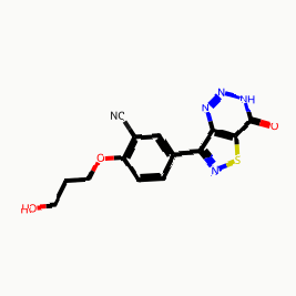 N#Cc1cc(-c2nsc3c(=O)[nH]nnc23)ccc1OCCCO